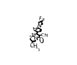 CC1CSc2nc(-c3ccc(N4CC(F)(F)C4)nc3)c(C#N)c(=O)n2C1